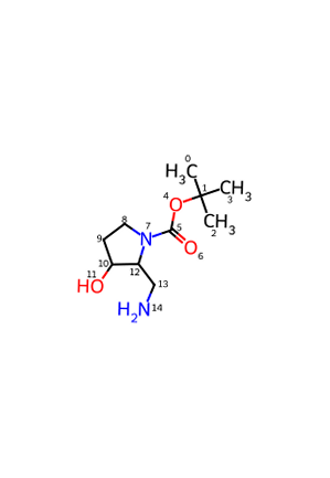 CC(C)(C)OC(=O)N1CCC(O)C1CN